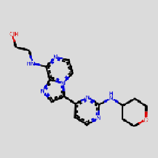 OCCNc1nccn2c(-c3ccnc(NC4CCOCC4)n3)cnc12